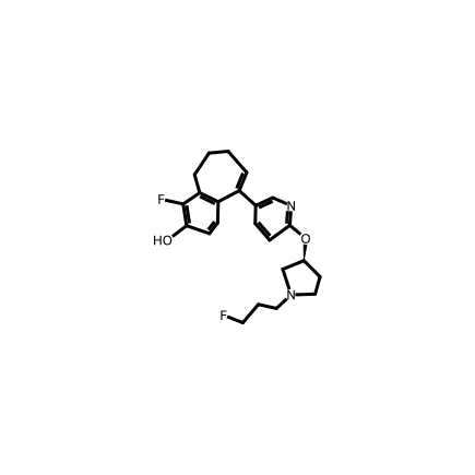 Oc1ccc2c(c1F)CCCC=C2c1ccc(O[C@H]2CCN(CCCF)C2)nc1